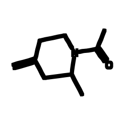 C=C1CCN(C(C)=O)C(C)C1